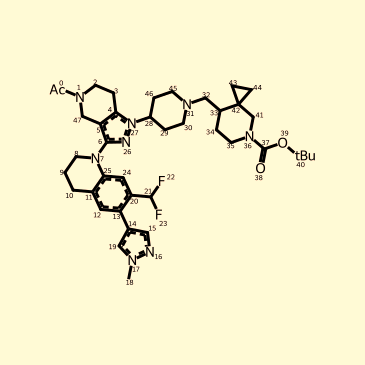 CC(=O)N1CCc2c(c(N3CCCc4cc(-c5cnn(C)c5)c(C(F)F)cc43)nn2C2CCN(CC3CCN(C(=O)OC(C)(C)C)CC34CC4)CC2)C1